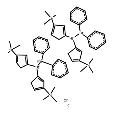 C[Si](C)(C)C1=CC[C]([Hf+]([C]2=CC([Si](C)(C)C)=CC2)[SiH](c2ccccc2)c2ccccc2)=C1.C[Si](C)(C)C1=CC[C]([Hf+]([C]2=CC([Si](C)(C)C)=CC2)[SiH](c2ccccc2)c2ccccc2)=C1.[Cl-].[Cl-]